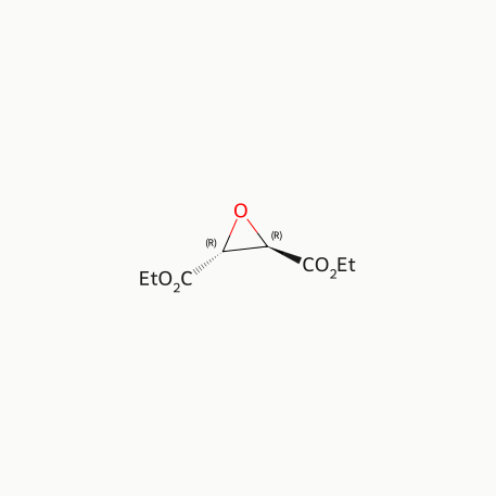 CCOC(=O)[C@@H]1O[C@H]1C(=O)OCC